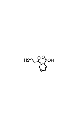 O=C(O)C1C=CSCN1C(=O)CCS